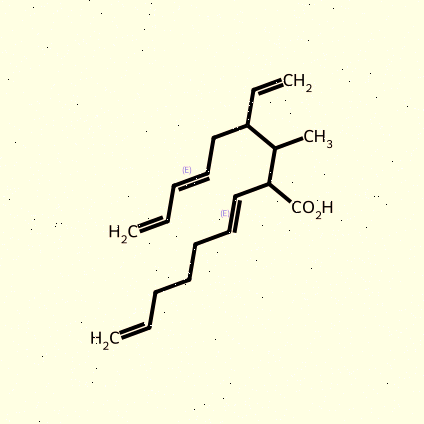 C=C/C=C/CC(C=C)C(C)C(/C=C/CCCC=C)C(=O)O